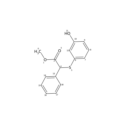 COC(=O)C(Sc1cccc(O)c1)c1ccccc1